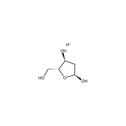 OC[C@H]1O[C@H](O)C[C@@H]1O.[H+]